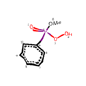 COP(=O)(OO)c1ccccc1